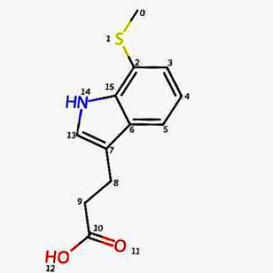 CSc1cccc2c(CCC(=O)O)c[nH]c12